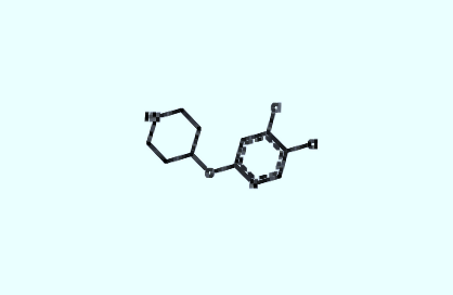 Clc1cnc(OC2CCNCC2)cc1Cl